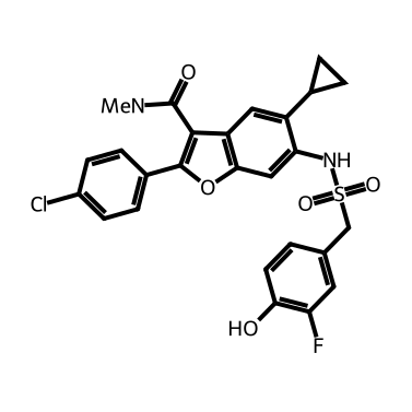 CNC(=O)c1c(-c2ccc(Cl)cc2)oc2cc(NS(=O)(=O)Cc3ccc(O)c(F)c3)c(C3CC3)cc12